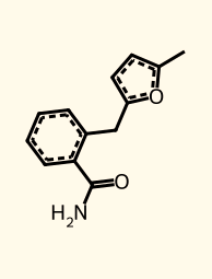 Cc1ccc(Cc2ccccc2C(N)=O)o1